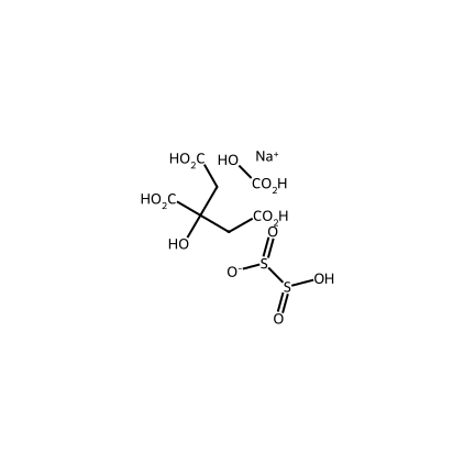 O=C(O)CC(O)(CC(=O)O)C(=O)O.O=C(O)O.O=S([O-])S(=O)O.[Na+]